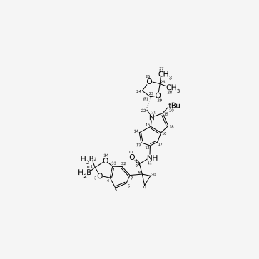 BC1(B)Oc2ccc(C3(C(=O)Nc4ccc5c(c4)cc(C(C)(C)C)n5C[C@@H]4COC(C)(C)O4)CC3)cc2O1